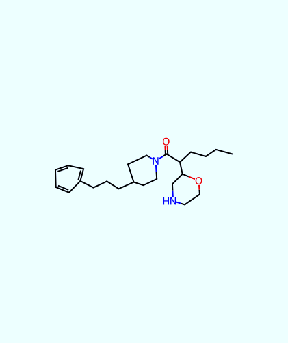 CCCCC(C(=O)N1CCC(CCCc2ccccc2)CC1)C1CNCCO1